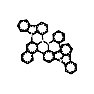 Cc1ccccc1N1B2c3c(cc4ccccc4c3-c3ccc4c(c31)c1cccc3c5ccccc5n4c31)-n1c3ccccc3c3cccc2c31